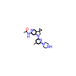 CC(=O)Nc1cc2c(cn1)C1(CC1)CN2c1cc(C)cc(N2CCNCC2)n1